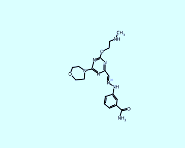 CNCCOc1nc(/C=N/Nc2cccc(C(N)=O)c2)nc(N2CCOCC2)n1